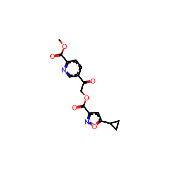 COC(=O)c1ccc(C(=O)COC(=O)c2cc(C3CC3)on2)cn1